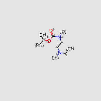 CCN(CC#N)CCN(CC)C(=O)OC(C)C(C)C